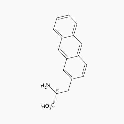 N[C@H](Cc1ccc2cc3ccccc3cc2c1)C(=O)O